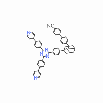 N#Cc1ccc(-c2ccc(C34CC5CC(C3)CC(c3ccc(-c6nc(-c7ccc(-c8ccncc8)cc7)nc(-c7ccc(-c8ccncc8)cc7)n6)cc3)(C5)C4)cc2)cc1